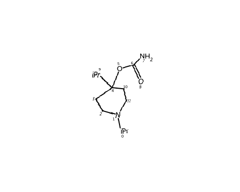 CC(C)N1CCC(OC(N)=O)(C(C)C)CC1